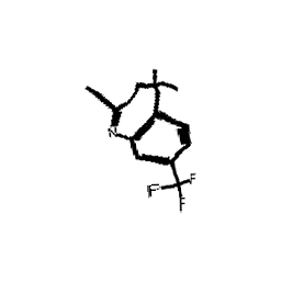 CC1=Nc2cc(C(F)(F)F)ccc2C(C)(C)C1